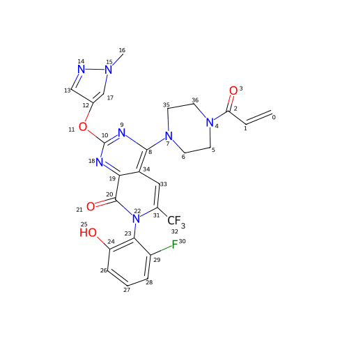 C=CC(=O)N1CCN(c2nc(Oc3cnn(C)c3)nc3c(=O)n(-c4c(O)cccc4F)c(C(F)(F)F)cc23)CC1